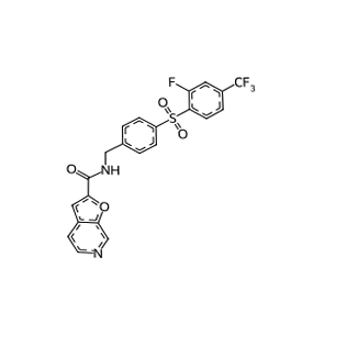 O=C(NCc1ccc(S(=O)(=O)c2ccc(C(F)(F)F)cc2F)cc1)c1cc2ccncc2o1